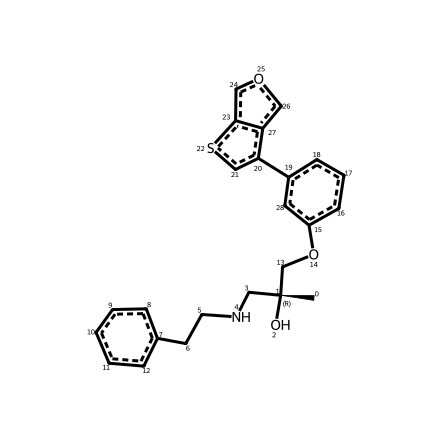 C[C@@](O)(CNCCc1ccccc1)COc1cccc(-c2csc3cocc23)c1